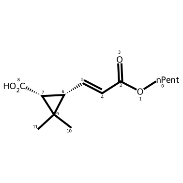 CCCCCOC(=O)C=C[C@H]1[C@@H](C(=O)O)C1(C)C